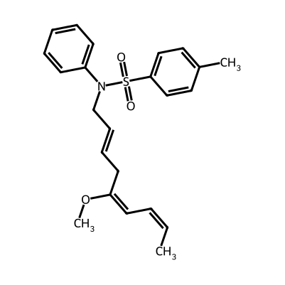 C/C=C\C=C(/C/C=C/CN(c1ccccc1)S(=O)(=O)c1ccc(C)cc1)OC